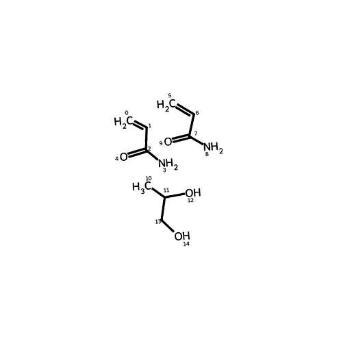 C=CC(N)=O.C=CC(N)=O.CC(O)CO